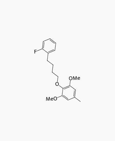 COc1cc(C)cc(OC)c1OCCCCc1ccccc1F